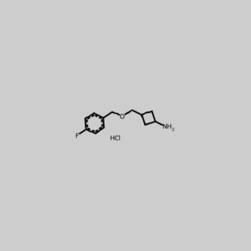 Cl.NC1CC(COCc2ccc(F)cc2)C1